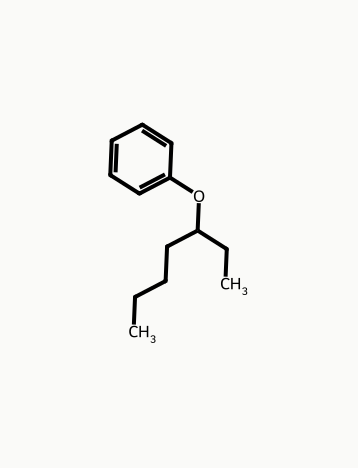 CCCCC(CC)Oc1ccccc1